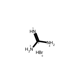 Br.N=C(N)N